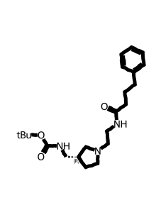 CC(C)(C)OC(=O)NC[C@H]1CCN(CCNC(=O)CCCc2ccccc2)C1